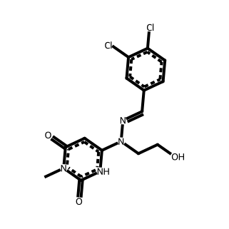 Cn1c(=O)cc(N(CCO)N=Cc2ccc(Cl)c(Cl)c2)[nH]c1=O